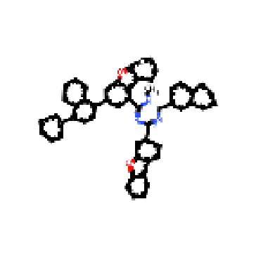 C=N/C(=N\C(=N/Cc1ccc2ccccc2c1)c1ccc2c(c1)oc1ccccc12)c1cc(-c2ccc(-c3ccccc3)c3ccccc23)cc2oc3ccccc3c12